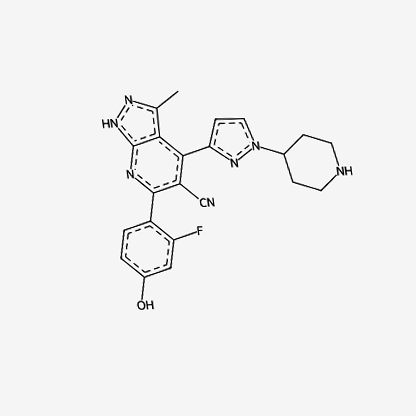 Cc1n[nH]c2nc(-c3ccc(O)cc3F)c(C#N)c(-c3ccn(C4CCNCC4)n3)c12